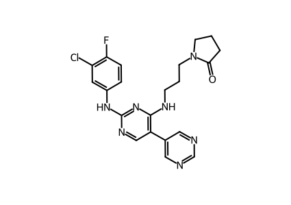 O=C1CCCN1CCCNc1nc(Nc2ccc(F)c(Cl)c2)ncc1-c1cncnc1